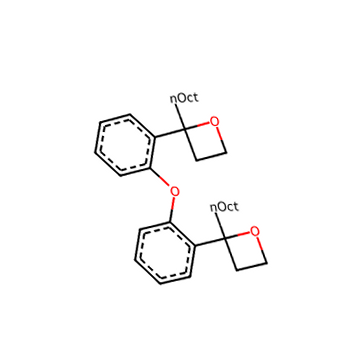 CCCCCCCCC1(c2ccccc2Oc2ccccc2C2(CCCCCCCC)CCO2)CCO1